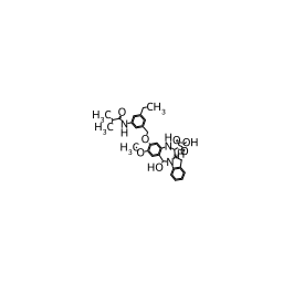 CCc1cc(COc2cc3c(cc2OC)C(O)N2c4ccccc4C[C@H]2C(S(=O)(=O)O)N3)cc(NC(=O)C(C)C)c1